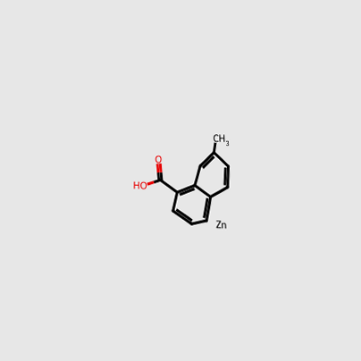 Cc1ccc2cccc(C(=O)O)c2c1.[Zn]